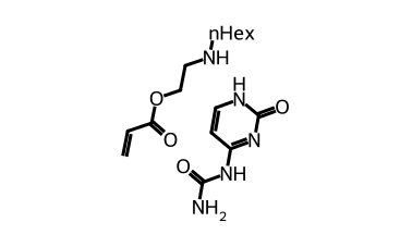 C=CC(=O)OCCNCCCCCC.NC(=O)Nc1cc[nH]c(=O)n1